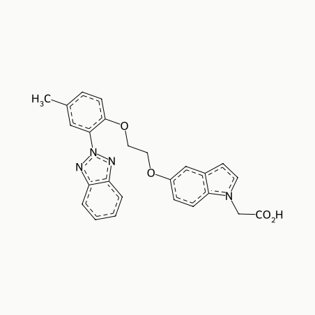 Cc1ccc(OCCOc2ccc3c(ccn3CC(=O)O)c2)c(-n2nc3ccccc3n2)c1